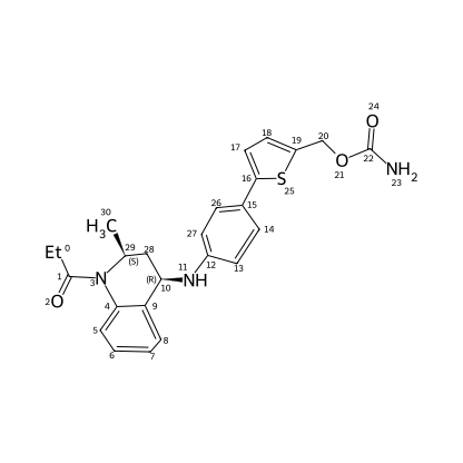 CCC(=O)N1c2ccccc2[C@H](Nc2ccc(-c3ccc(COC(N)=O)s3)cc2)C[C@@H]1C